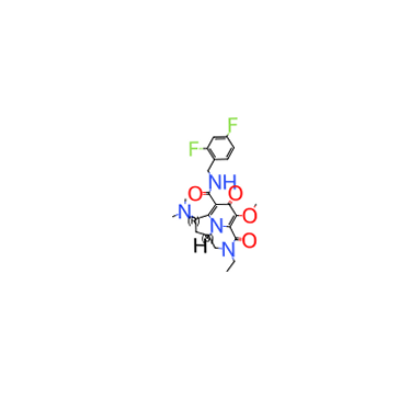 CCN1C[C@@H]2C[C@@H](N(C)C)c3c(C(=O)NCc4ccc(F)cc4F)c(=O)c(OC)c(n32)C1=O